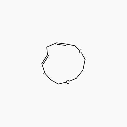 [CH]1/C=C/C/C=C/CCCCCCCC1